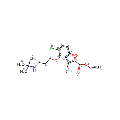 CCOC(=O)c1oc2ccc(Br)c(OCCCNC(C)(C)C)c2c1C